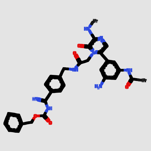 CC(C)Nc1ncc(-c2cc(N)cc(NC(=O)C(C)C)c2)n(CC(=O)NCc2ccc(C(=N)NC(=O)OCc3ccccc3)cc2)c1=O